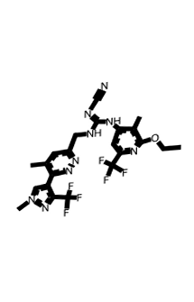 CCOc1nc(C(F)(F)F)cc(N/C(=N\C#N)NCc2cc(C)c(-c3cn(C)nc3C(F)(F)F)nn2)c1C